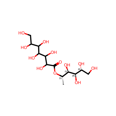 C[C@H](OC(=O)C(O)C(O)C(O)C(O)C(O)CO)[C@@H](O)[C@H](O)[C@H](O)CO